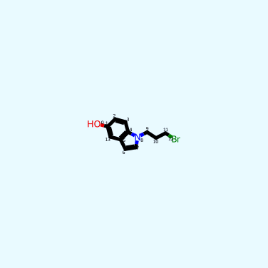 Oc1ccc2c(ccn2CCCBr)c1